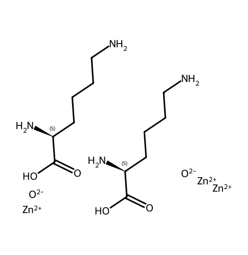 NCCCC[C@H](N)C(=O)O.NCCCC[C@H](N)C(=O)O.[O-2].[O-2].[Zn+2].[Zn+2].[Zn+2]